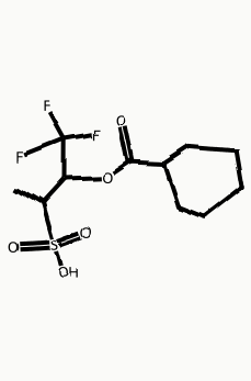 CC(C(OC(=O)C1CCCCC1)C(F)(F)F)S(=O)(=O)O